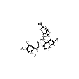 N/C(=N\c1cc(F)c(O)cc1Cl)c1cnn2cc(Br)cc2c1NC1C2CC3CC1CC(O)(C3)C2